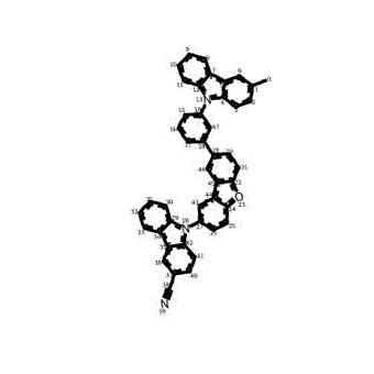 Cc1ccc2c(c1)c1ccccc1n2-c1cccc(-c2ccc3oc4ccc(-n5c6ccccc6c6cc(C#N)ccc65)cc4c3c2)c1